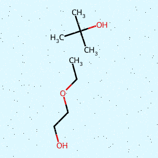 CC(C)(C)O.CCOCCO